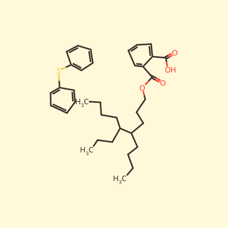 CCCCC(CCC)C(CCCC)CCCOC(=O)c1ccccc1C(=O)O.c1ccc(Sc2ccccc2)cc1